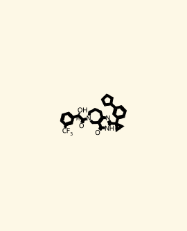 O=C([C@H](O)c1cccc(C(F)(F)F)c1)N1CCCc2nc(C3(c4cccc(C5CCCC5)c4)CC3)[nH]c(=O)c2C1